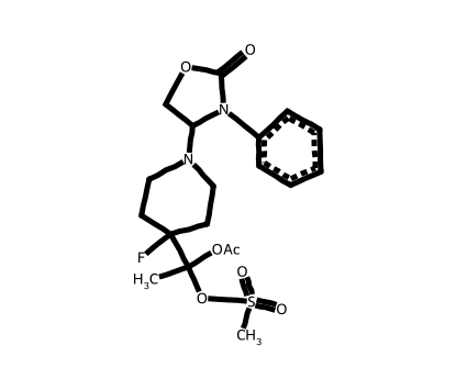 CC(=O)OC(C)(OS(C)(=O)=O)C1(F)CCN(C2COC(=O)N2c2ccccc2)CC1